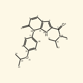 C=C1C=Cc2cc(C(=O)N(C)C(C)C)[nH]c2N1c1ccc(OC(C)C)cc1